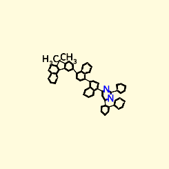 CC1(C)c2ccc(-c3ccc(-c4ccc(-c5cc(-c6ccccc6-c6ccccc6)nc(-c6ccccc6)n5)c5ccccc45)c4ccccc34)cc2-c2c1ccc1ccccc21